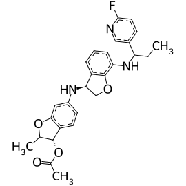 CCC(Nc1cccc2c1OC[C@H]2Nc1ccc2c(c1)OC(C)[C@H]2OC(C)=O)c1ccc(F)nc1